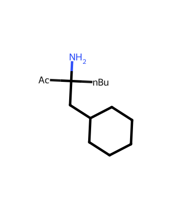 CCCCC(N)(CC1CCCCC1)C(C)=O